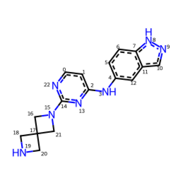 c1cc(Nc2ccc3[nH]ncc3c2)nc(N2CC3(CNC3)C2)n1